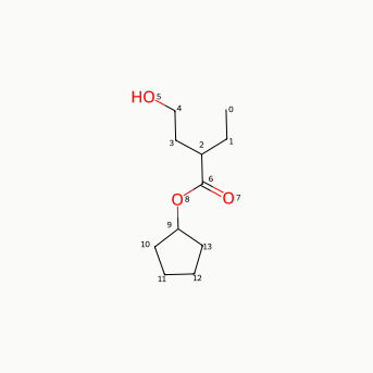 CCC(CCO)C(=O)OC1CCCC1